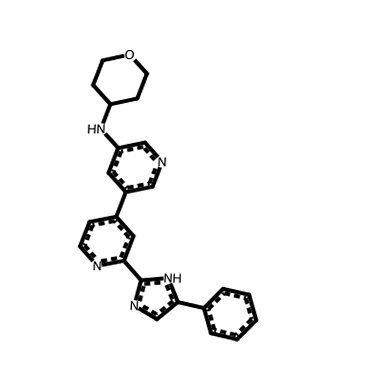 c1ccc(-c2cnc(-c3cc(-c4cncc(NC5CCOCC5)c4)ccn3)[nH]2)cc1